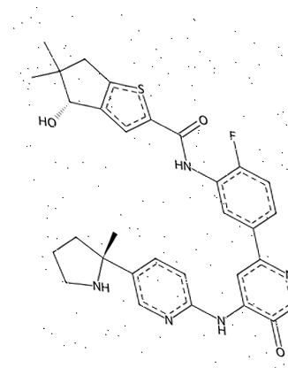 CC1(C)Cc2sc(C(=O)Nc3cc(-c4cc(Nc5ccc([C@@]6(C)CCCN6)cn5)c(=O)[nH]n4)ccc3F)cc2[C@@H]1O